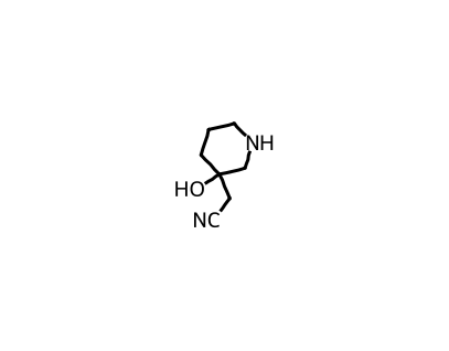 N#CCC1(O)CCCNC1